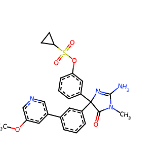 COc1cncc(-c2cccc(C3(c4cccc(OS(=O)(=O)C5CC5)c4)N=C(N)N(C)C3=O)c2)c1